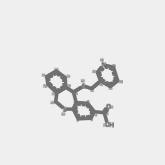 O=C(O)c1ccc2c(c1)C(SCc1cccnc1)c1ccccc1CS2